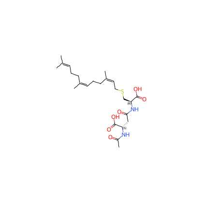 CC(=O)N[C@@H](CC(=O)N[C@@H](CSCC=C(C)CCC=C(C)CCC=C(C)C)C(=O)O)C(=O)O